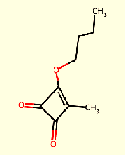 CCCCOc1c(C)c(=O)c1=O